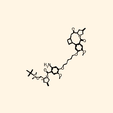 C=C1CC2C(=O)CC3CCC3c3cc(OCCCCCOc4cc(N)c(C(=O)N5CC(=C)C[C@H]5CO[Si](C)(C)C(C)(C)C)cc4OC)c(OC)cc3C(=O)N2C1